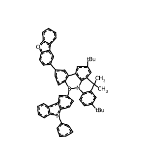 CC(C)(C)c1ccc2c(c1)C(C)(C)c1cc(C(C)(C)C)cc3c1N2B(c1ccc2c(c1)c1ccccc1n2-c1ccccc1)c1ccc(-c2ccc4oc5ccccc5c4c2)cc1-3